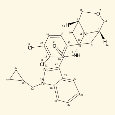 O=C(N[C@H]1C[C@H]2COC[C@@H](C1)N2Cc1ccc(Cl)c(Cl)c1)c1nn(CC2CC2)c2ccccc12